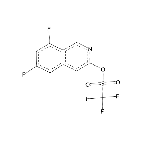 O=S(=O)(Oc1cc2cc(F)cc(F)c2cn1)C(F)(F)F